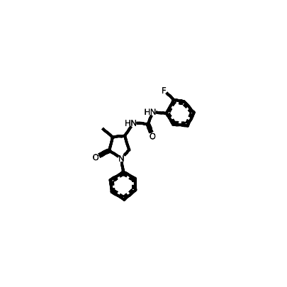 CC1C(=O)N(c2ccccc2)CC1NC(=O)Nc1ccccc1F